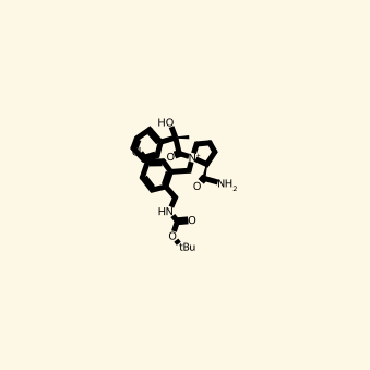 CC(C)(C)OC(=O)NCc1ccc(Cl)cc1C[N+]1(C(=O)[C@@](C)(O)c2ccccc2)CCC[C@H]1C(N)=O